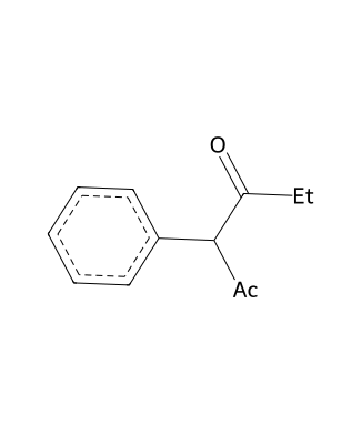 CCC(=O)C(C(C)=O)c1ccccc1